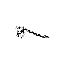 CCCCCCCCCCCCCCCCCCSCC(NC(C)=O)C(=O)NCCS(=O)(=O)O